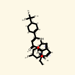 CCC1=N/N2C(=O)C=C(C3=CCC(C(F)(F)F)CC3)NC2/C=C(C2=CCC(F)CC2F)/C=C\1